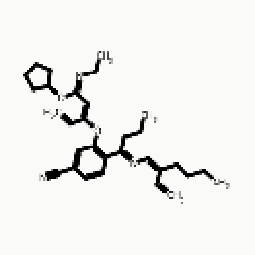 C=C/C(=C\N=C(/CCC)c1ccc(C#N)cc1O/C(C=C)=C/C(=N\CC)OC1CCCC1)CCCC